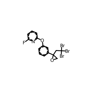 Fc1cccc(Oc2cccc(C3(CC(Br)(Br)Br)CO3)c2)n1